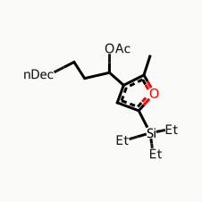 CCCCCCCCCCCCC(OC(C)=O)c1cc([Si](CC)(CC)CC)oc1C